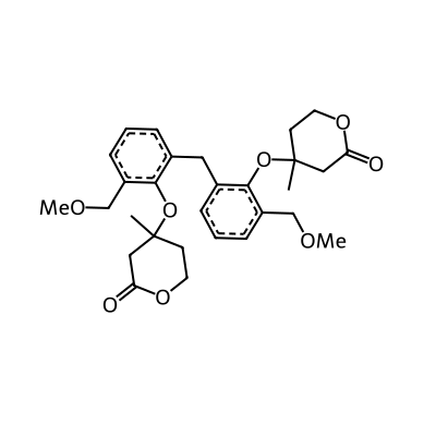 COCc1cccc(Cc2cccc(COC)c2OC2(C)CCOC(=O)C2)c1OC1(C)CCOC(=O)C1